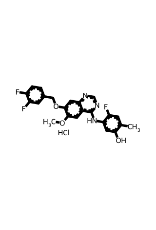 COc1cc2c(Nc3cc(O)c(C)cc3F)ncnc2cc1OCc1ccc(F)c(F)c1.Cl